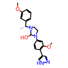 COc1cccc([C@@H](C)N2CCN(c3ccc(-c4cn[nH]c4)c(OC)c3)C2O)c1